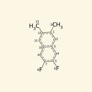 Cc1cc2cc(F)c(F)cc2cc1C